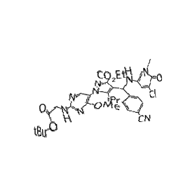 CCOC(=O)c1nn(-c2cnc(NCC(=O)OC(C)(C)C)nc2OC)c(C(C)C)c1C(Nc1cc(Cl)c(=O)n(C)c1)c1ccc(C#N)cc1